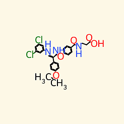 CC(C)Oc1ccc(/C(=C/Nc2cc(Cl)cc(Cl)c2)C(=N)Oc2ccc(C(=O)NCCC(=O)O)cc2)cc1